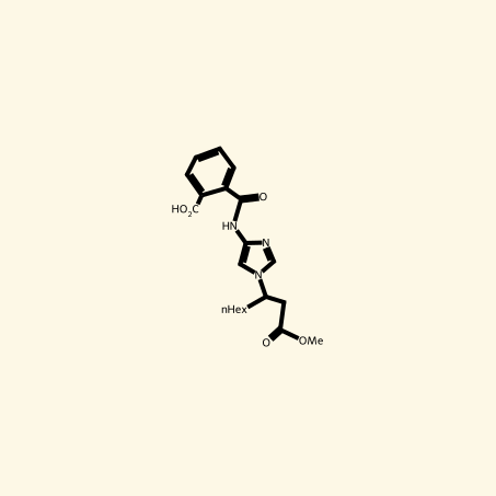 CCCCCCC(CC(=O)OC)n1cnc(NC(=O)c2ccccc2C(=O)O)c1